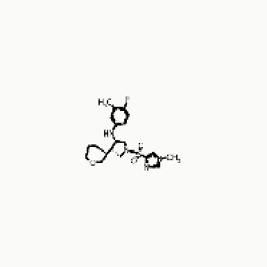 Cc1cc(N[C@H]2CN(S(=O)(=O)c3cn(C)cn3)C[C@@H]2[C@@H]2CCCOC2)ccc1F